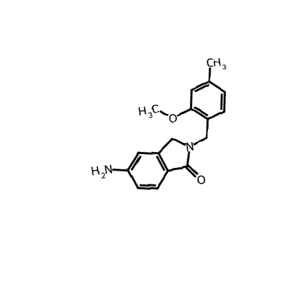 COc1cc(C)ccc1CN1Cc2cc(N)ccc2C1=O